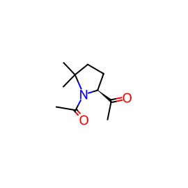 CC(=O)[C@@H]1CCC(C)(C)N1C(C)=O